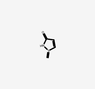 C=S1C=CC(=O)N1